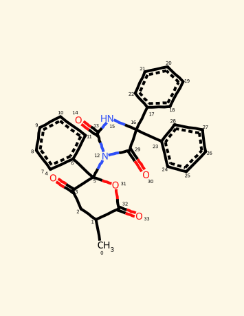 CC1CC(=O)C(c2ccccc2)(N2C(=O)NC(c3ccccc3)(c3ccccc3)C2=O)OC1=O